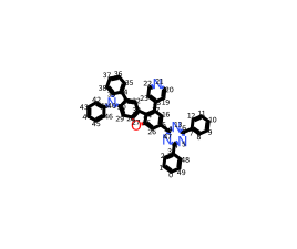 c1ccc(-c2nc(-c3ccccc3)nc(-c3cc(-c4ccncc4)c4c(c3)oc3cc5c(cc34)c3ccccc3n5-c3ccccc3)n2)cc1